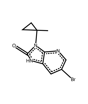 CC1(n2c(=O)[nH]c3cc(Br)cnc32)CC1